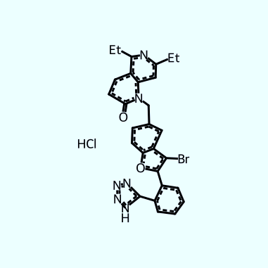 CCc1cc2c(ccc(=O)n2Cc2ccc3oc(-c4ccccc4-c4nnn[nH]4)c(Br)c3c2)c(CC)n1.Cl